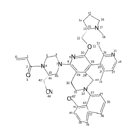 C=CC(=O)N1CCN(c2nc(OC[C@@H]3CCCN3C)c(-c3c(C)ccnc3C)c3c2CCN(c2cccc4cccc(Cl)c24)C3)C[C@@H]1CC#N